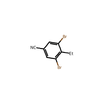 CCc1c(Br)cc(C#N)cc1Br